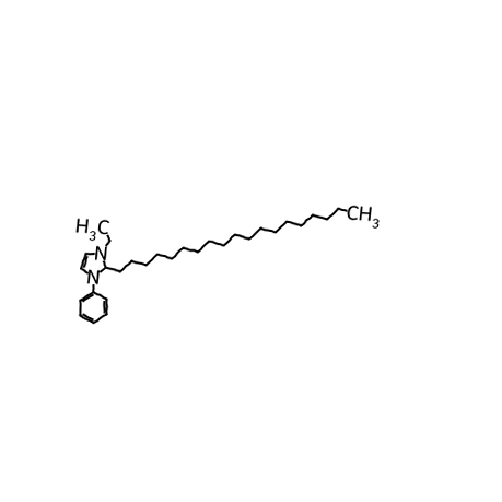 CCCCCCCCCCCCCCCCCCCC1N(CC)C=CN1c1ccccc1